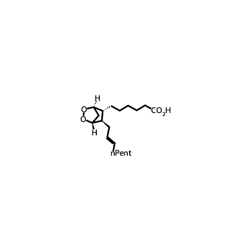 CCCCCC=CC[C@@H]1[C@@H](CCCCCC(=O)O)[C@H]2C[C@H]1OO2